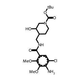 COc1c(C(=O)NCC2CCN(C(=O)OC(C)(C)C)CC2O)cc(Cl)c(N)c1OC